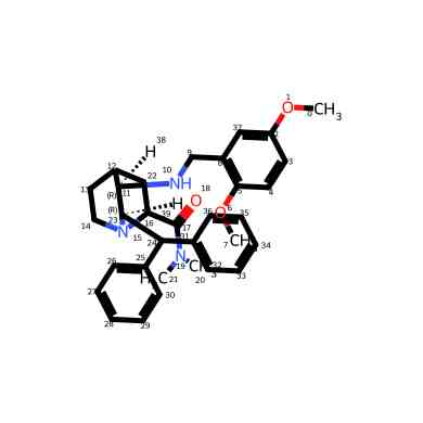 COc1ccc(OC)c(CN[C@@H]2C3CCN(C(C(=O)N(C)C)C3)[C@@H]2C(c2ccccc2)c2ccccc2)c1